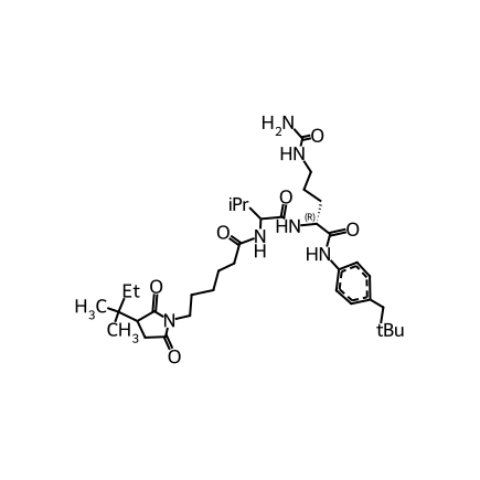 CCC(C)(C)C1CC(=O)N(CCCCCC(=O)NC(C(=O)N[C@H](CCCNC(N)=O)C(=O)Nc2ccc(CC(C)(C)C)cc2)C(C)C)C1=O